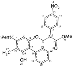 CCCCCc1cc(OCN(C(=O)OC)c2ccc([N+](=O)[O-])cc2)c(-c2ccccc2)c(O)c1C